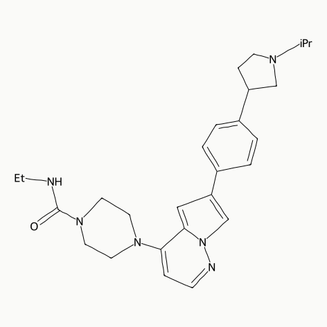 CCNC(=O)N1CCN(c2ccnn3cc(-c4ccc(C5CCN(C(C)C)C5)cc4)cc23)CC1